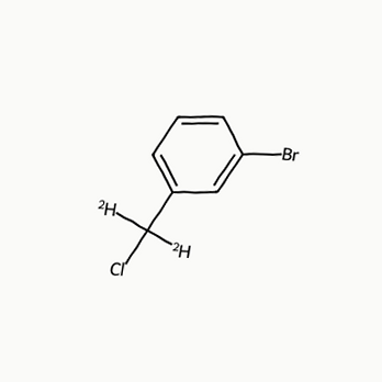 [2H]C([2H])(Cl)c1cccc(Br)c1